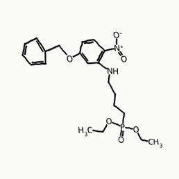 CCOP(=O)(CCCCNc1cc(OCc2ccccc2)ccc1[N+](=O)[O-])OCC